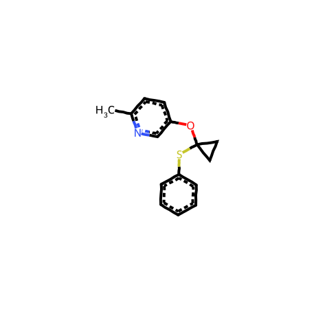 Cc1ccc(OC2(Sc3ccccc3)CC2)cn1